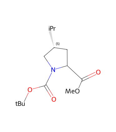 COC(=O)C1C[C@@H](C(C)C)CN1C(=O)OC(C)(C)C